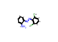 Nc1ccccc1/N=N/c1c(F)cccc1F